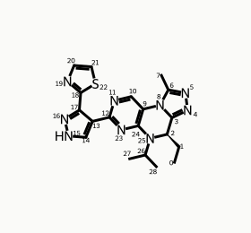 CC[C@@H]1c2nnc(C)n2-c2cnc(-c3c[nH]nc3-c3nccs3)nc2N1C(C)C